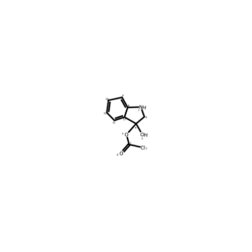 O=C(Cl)OC1(O)CNc2ccccc21